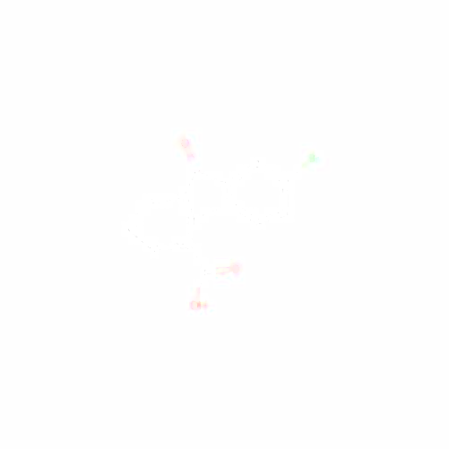 O=C(O)c1cccc2c1-c1ccc(Br)cc1C2=O